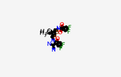 CCC1(CC)c2cc(N=c3c(=O)c4cc(F)c(F)cc4c3=O)sc2-c2sc(/N=C3\C(=O)c4cc(F)c(F)cc4C3=C(C#N)C#N)cc21